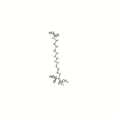 CC(C)C(CCCCCCCCCCCCCCC(=O)O)C(=O)O